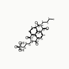 CCCCN1C(=O)c2ccc3c4c(ccc(c24)C1=O)C(=O)N(CCCP(=O)(O)O)C3=O